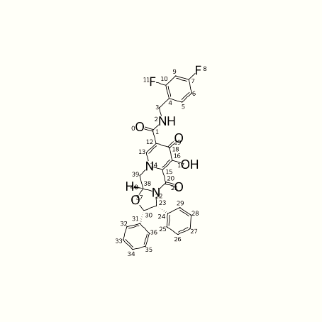 O=C(NCc1ccc(F)cc1F)c1cn2c(c(O)c1=O)C(=O)N1[C@H](c3ccccc3)[C@H](c3ccccc3)O[C@@H]1C2